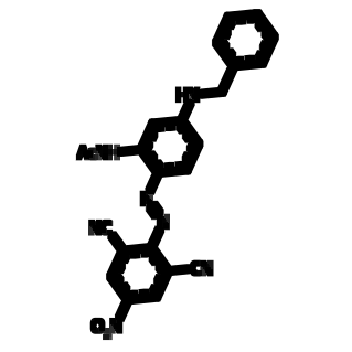 CC(=O)Nc1cc(NCc2ccccc2)ccc1/N=N/c1c(C#N)cc([N+](=O)[O-])cc1C#N